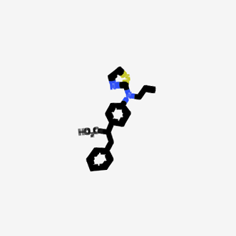 C=CCN(c1ccc(C(Cc2ccccc2)C(=O)O)cc1)c1nccs1